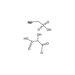 O=C([O-])C(O)S(=O)O.O=S(=O)(O)CO.[Na+]